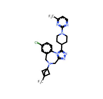 FC(F)(F)c1ccnc(N2CCC(c3nnc4n3-c3ccc(Cl)cc3CN(C35CC(C(F)(F)F)(C3)C5)C4)CC2)n1